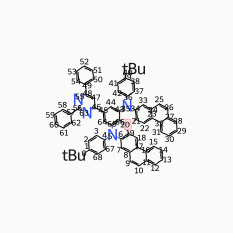 CC(C)(C)c1ccc(N2c3cc4ccc5ccccc5c4cc3B3c4cc5c(ccc6ccccc65)cc4N(c4ccc(C(C)(C)C)cc4)c4cc(-c5cc(-c6ccccc6)nc(-c6ccccc6)n5)cc2c43)cc1